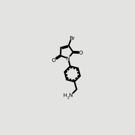 NCc1ccc(N2C(=O)C=C(Br)C2=O)cc1